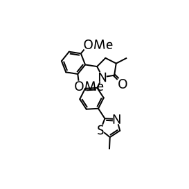 COc1cccc(OC)c1C1CC(C)C(=O)N1c1cccc(-c2ncc(C)s2)c1